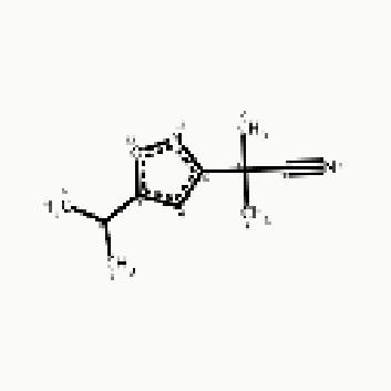 CC(C)c1cc(C(C)(C)C#N)no1